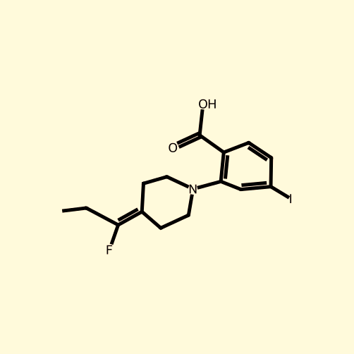 CCC(F)=C1CCN(c2cc(I)ccc2C(=O)O)CC1